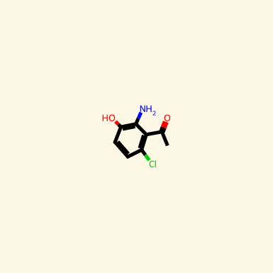 CC(=O)c1c(Cl)ccc(O)c1N